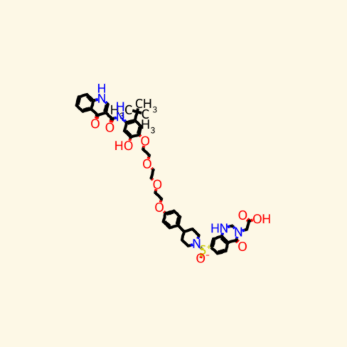 CC(C)(C)c1cc(OCCOCCOCCOc2ccc(C3CCN([S+]([O-])c4ccc5c(c4)NCN(CC(=O)O)C5=O)CC3)cc2)c(O)cc1NC(=O)c1c[nH]c2ccccc2c1=O